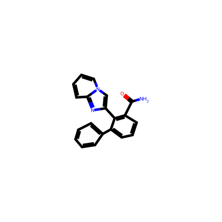 NC(=O)c1cccc(-c2ccccc2)c1-c1cn2ccccc2n1